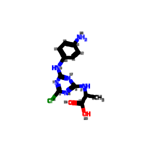 CC(Nc1nc(Cl)nc(Nc2ccc(N)cc2)n1)C(=O)O